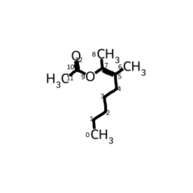 CCCCCC(C)=C(C)OC(C)=O